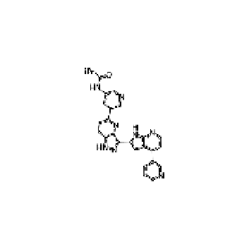 CC(C)C(=O)Nc1cncc(-c2ccc3[nH]nc(-c4cc5c(-c6cccnc6)ccnc5[nH]4)c3n2)c1